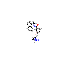 Cc1ccc(OCC2CC(C)(C)N2)cc1C(=O)NC1(c2cccc3ccccc23)CC1